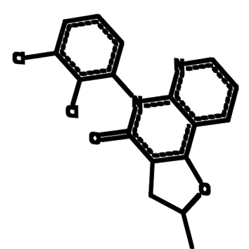 CC1Cc2c(c3cccnc3n(-c3cccc(Cl)c3Cl)c2=O)O1